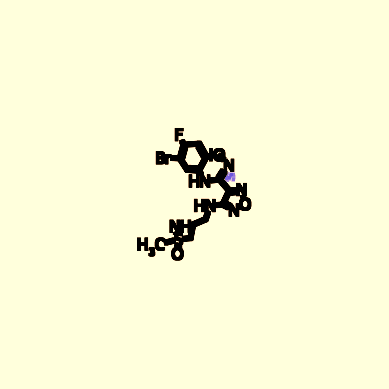 CS(=N)(=O)CCCNc1nonc1/C(=N/O)Nc1ccc(F)c(Br)c1